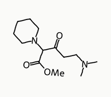 COC(=O)C(C(=O)CCN(C)C)N1CCCCC1